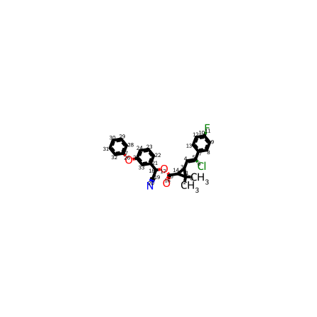 CC1(C)C(C=C(Cl)c2ccc(F)cc2)C1C(=O)OC(C#N)c1cccc(Oc2ccccc2)c1